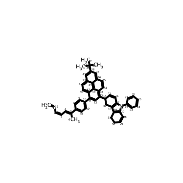 C=N/C=C\C=C(/C)c1ccc(-c2cc(C3C=Cc4c(c5c(n4-c4ccccc4)C=CCC5)C3)c3ccc4cc(C(C)(C)C)cc5ccc2c3c54)cc1